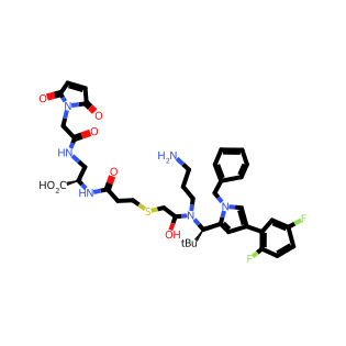 CC(C)(C)[C@H](c1cc(-c2cc(F)ccc2F)cn1Cc1ccccc1)N(CCCN)C(O)CSCCC(=O)N[C@H](CNC(=O)CN1C(=O)C=CC1=O)C(=O)O